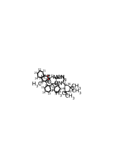 CN/C=C(\Nc1ccccc1C1(c2ccccc2-c2ccc3ccccc3c2C)OC(C)CC(C)O1)C1CC(C)(C)CC(C)(C)C1